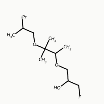 CC(C)C(C)COC(C)(C)C(C)OCC(O)CF